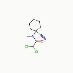 CN(C(=O)C(Cl)Cl)C1(C#N)CCCCC1